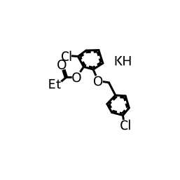 CCC(=O)Oc1c(Cl)cccc1OCc1ccc(Cl)cc1.[KH]